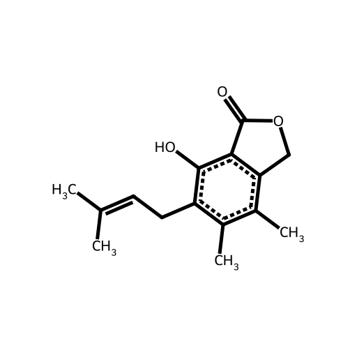 CC(C)=CCc1c(C)c(C)c2c(c1O)C(=O)OC2